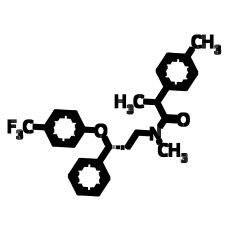 Cc1ccc(C(C)C(=O)N(C)CC[C@@H](Oc2ccc(C(F)(F)F)cc2)c2ccccc2)cc1